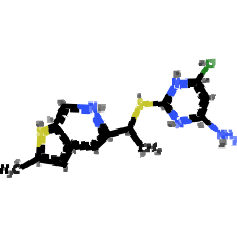 Cc1cc2cc(C(C)Sc3nc(N)cc(Cl)n3)ncc2s1